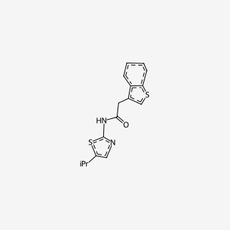 CC(C)c1cnc(NC(=O)Cc2csc3ccccc23)s1